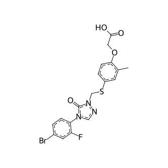 Cc1cc(SCn2ncn(-c3ccc(Br)cc3F)c2=O)ccc1OCC(=O)O